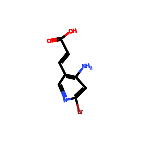 Nc1cc(Br)ncc1C=CC(=O)O